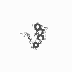 COCCOc1cc(CN2CCC3(CC2)CC(=O)c2ccccc2N3F)ccc1F